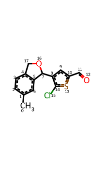 Cc1ccc2c(c1)C(c1cc(C=O)sc1Cl)OC2